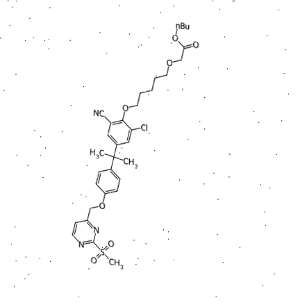 CCCCOC(=O)COCCCCCOc1c(Cl)cc(C(C)(C)c2ccc(OCc3ccnc(S(C)(=O)=O)n3)cc2)cc1C#N